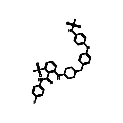 CS(=O)(=O)Nc1ccc(Oc2ccc(CN3CCC(Nc4cccc(S(C)(=O)=O)c4C(=O)Nc4ccc(F)cc4)CC3)cc2)cc1